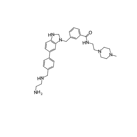 CN1CCN(CCNC(=O)c2cccc(CN3CNc4ccc(-c5ccc(CNCCN)cc5)cc43)c2)CC1